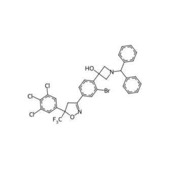 OC1(c2ccc(C3=NOC(c4cc(Cl)c(Cl)c(Cl)c4)(C(F)(F)F)C3)cc2Br)CN(C(c2ccccc2)c2ccccc2)C1